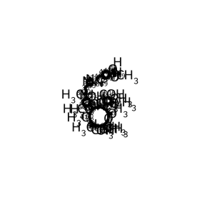 CC[C@H]1OC(=O)[C@H](C)[C@@H](C2C[C@@](C)(OC)[C@@H](O)[C@H](C)O2)[C@H](C)[C@@H](O[C@@H]2O[C@H](C)C[C@H](N(C)CCc3cn([C@H](CF)Cc4ccc(S(=O)(=O)NC)cc4)nn3)[C@H]2O)[C@](C)(O)C[C@@H](C)CN(C)[C@H](C)[C@@H](O)[C@]1(C)O